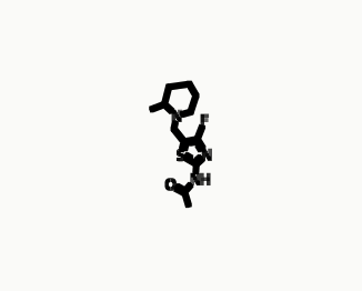 CC(=O)Nc1nc(F)c(CN2CCCCC2C)s1